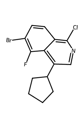 Fc1c(Br)ccc2c(Cl)ncc(C3CCCC3)c12